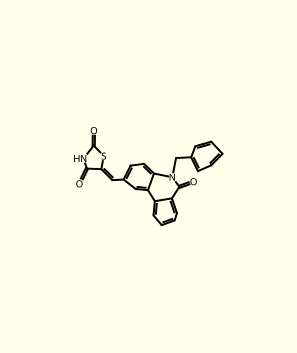 O=C1NC(=O)/C(=C/c2ccc3c(c2)c2ccccc2c(=O)n3Cc2ccccc2)S1